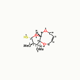 CO[C@@H]1[C@@H](OC)[C@H](S)O[C@@H]2COCC=CCO[C@@H]12